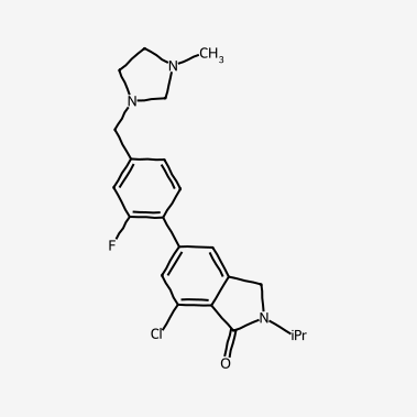 CC(C)N1Cc2cc(-c3ccc(CN4CCN(C)C4)cc3F)cc(Cl)c2C1=O